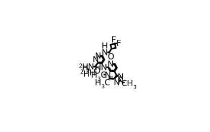 [2H]C([2H])([2H])NC(=O)c1nnc(NC(=O)C2CC(F)(F)C2)cc1Nc1nccc2c1N(C)[C@H](C)c1nn(C)nc1-2